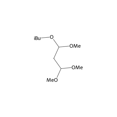 CCC(C)OC(CC(OC)OC)OC